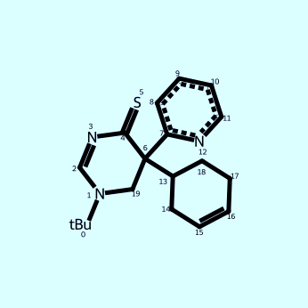 CC(C)(C)N1C=NC(=S)C(c2ccccn2)(C2CC=CCC2)C1